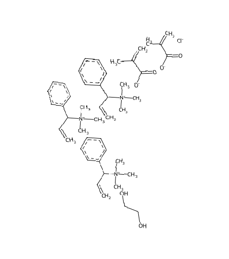 C=C(C)C(=O)[O-].C=C(C)C(=O)[O-].C=CC(c1ccccc1)[N+](C)(C)C.C=CC(c1ccccc1)[N+](C)(C)C.C=CC(c1ccccc1)[N+](C)(C)C.OCCO.[Cl-]